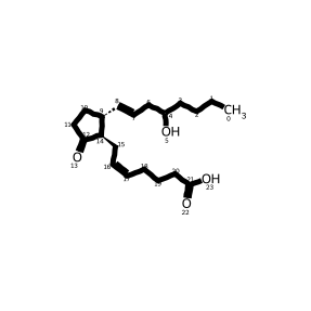 CCCCC(O)C/C=C/[C@H]1CCC(=O)[C@@H]1C/C=C\CCCC(=O)O